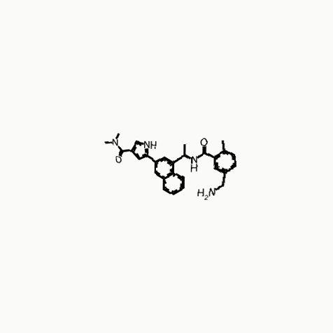 Cc1ccc(CN)cc1C(=O)NC(C)c1cc(-c2cc(C(=O)N(C)C)c[nH]2)cc2ccccc12